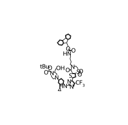 CC(C)(C)OC(=O)N1CCN(c2ccc(Nc3ncc(C(F)(F)F)c(-c4cc5c(s4)C(=O)N(CCCCNC(=O)OCC4c6ccccc6-c6ccccc64)CCS5(=O)=O)n3)c(C3CC3)c2)CC1CO